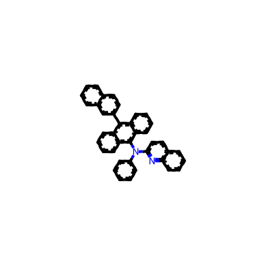 c1ccc(N(c2ccc3ccccc3n2)c2c3ccccc3c(-c3ccc4ccccc4c3)c3ccccc23)cc1